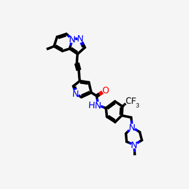 Cc1ccn2ncc(C#Cc3cncc(C(=O)Nc4ccc(CN5CCN(C)CC5)c(C(F)(F)F)c4)c3)c2c1